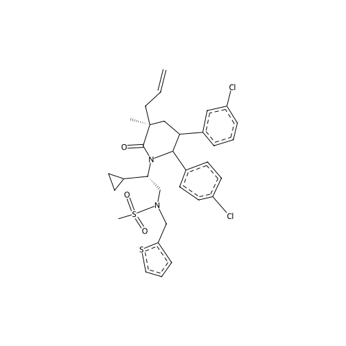 C=CC[C@@]1(C)CC(c2cccc(Cl)c2)C(c2ccc(Cl)cc2)N([C@H](CN(Cc2cccs2)S(C)(=O)=O)C2CC2)C1=O